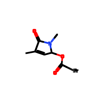 CC1=CC(OC(=O)C(C)C)N(C)C1=O